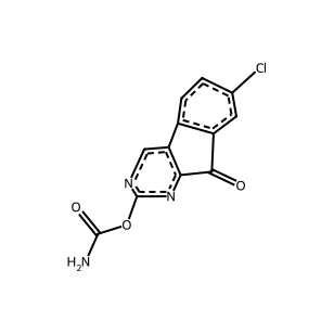 NC(=O)Oc1ncc2c(n1)C(=O)c1cc(Cl)ccc1-2